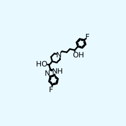 OC(CCCN1CCC(C(O)c2nc3cc(F)ccc3[nH]2)CC1)c1ccc(F)cc1